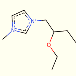 CCOC(CC)C[n+]1ccn(C)c1